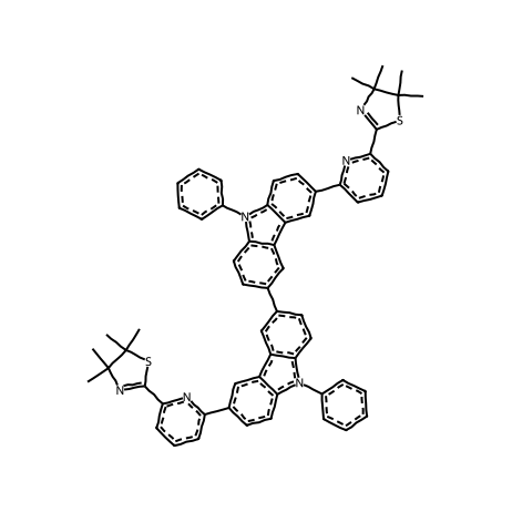 CC1(C)N=C(c2cccc(-c3ccc4c(c3)c3cc(-c5ccc6c(c5)c5cc(-c7cccc(C8=NC(C)(C)C(C)(C)S8)n7)ccc5n6-c5ccccc5)ccc3n4-c3ccccc3)n2)SC1(C)C